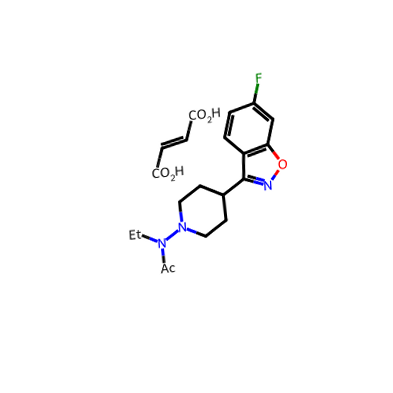 CCN(C(C)=O)N1CCC(c2noc3cc(F)ccc23)CC1.O=C(O)C=CC(=O)O